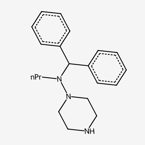 CCCN(C(c1ccccc1)c1ccccc1)N1CCNCC1